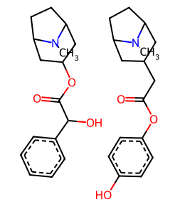 CN1C2CCC1CC(CC(=O)Oc1ccc(O)cc1)C2.CN1C2CCC1CC(OC(=O)C(O)c1ccccc1)C2